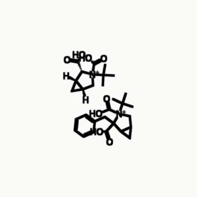 CC(C)(C)[N+]1(C(=O)O)CC2CC2C1(Cc1ccccc1)C(=O)O.CC(C)(C)[N+]1(C(=O)O)C[C@@H]2C[C@@H]2[C@@H]1C(=O)O